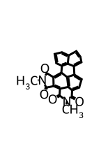 CN1C(=O)c2ccc3c4cccc5cccc(c54)c4c5c(=O)n(C)c(=O)c5c(c2c34)C1=O